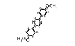 COc1ccc(-c2cnc(-c3ccc(OC)cc3)cn2)cc1